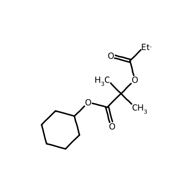 C[CH]C(=O)OC(C)(C)C(=O)OC1CCCCC1